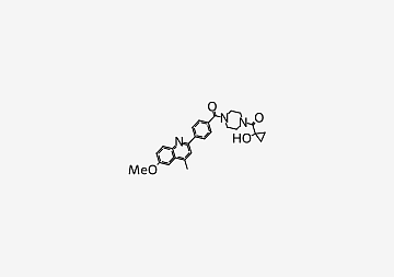 COc1ccc2nc(-c3ccc(C(=O)N4CCN(C(=O)C5(O)CC5)CC4)cc3)cc(C)c2c1